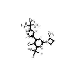 C[C@H]1CCN1c1nc(-c2noc(C(C)(C)N)n2)c(Cl)c(C(F)(F)F)n1